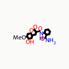 COc1cc2oc(=O)c(C(=O)Nc3ccccc3C(N)=O)cc2cc1O